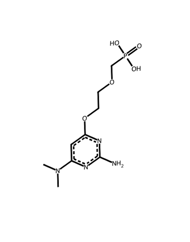 CN(C)c1cc(OCCOCP(=O)(O)O)nc(N)n1